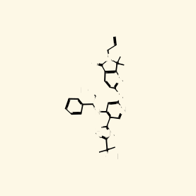 C=CCN1C(=O)c2ccc(Nc3cc(N[C@H](CO)c4ccccc4)c(-c4nc(C(C)(C)O)no4)cn3)nc2C1(C)C